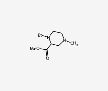 CCN1CCN(C)CC1C(=O)OC